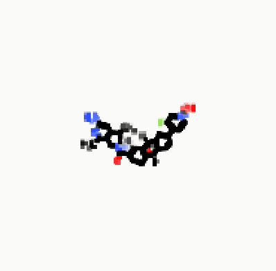 Cc1nc(N)cc(C(C)C)c1CNC(=O)c1ccc2c(c1)[C@@H]1O[C@H]2c2ccc(-c3cc[n+](O)cc3F)cc21